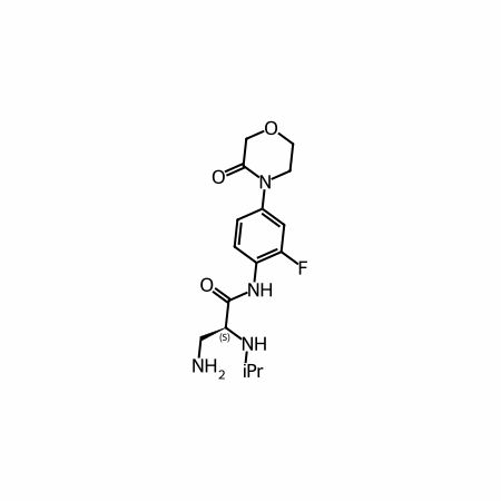 CC(C)N[C@@H](CN)C(=O)Nc1ccc(N2CCOCC2=O)cc1F